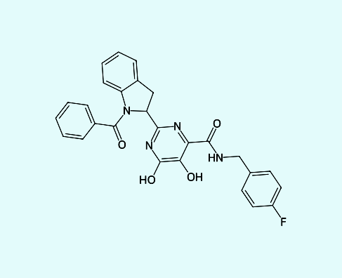 O=C(NCc1ccc(F)cc1)c1nc(C2Cc3ccccc3N2C(=O)c2ccccc2)nc(O)c1O